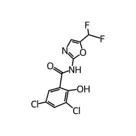 O=C(Nc1ncc(C(F)F)o1)c1cc(Cl)cc(Cl)c1O